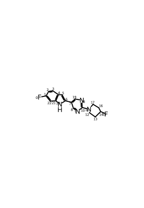 Fc1ccc2cc(-c3cnc(N4CCC(F)CC4)nc3)[nH]c2c1